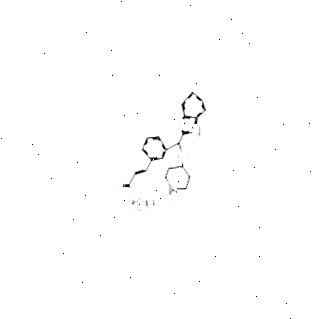 CN1CCC(OC(c2cccc(C=CC(=O)OC(C)(C)C)c2)c2nc3ccccc3s2)CC1